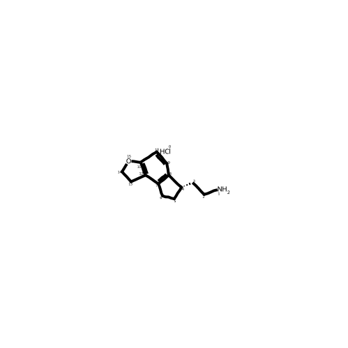 Cl.NCC[C@@H]1CCc2c1ccc1c2CCO1